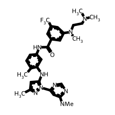 CNc1cc(-n2nc(C)cc2Nc2cc(NC(=O)c3cc(N(C)CCN(C)C)cc(C(F)(F)F)c3)ccc2C)ncn1